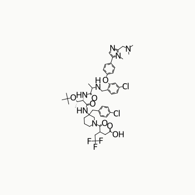 CC(NCc1ccc(Cl)cc1Oc1ccc(-c2cnc(CN(C)C)n2C)cc1)C(=O)N[C@H](C(=O)NC1(Cc2ccc(Cl)cc2)CCCN(C(=O)C(CC(=O)O)CC(F)(F)F)C1)[C@H](C)OC(C)(C)C